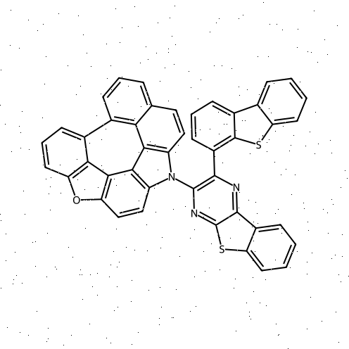 c1cc2c3c(c1)ccc1c3c3c4c(ccc3n1-c1nc3sc5ccccc5c3nc1-c1cccc3c1sc1ccccc13)oc1cccc-2c14